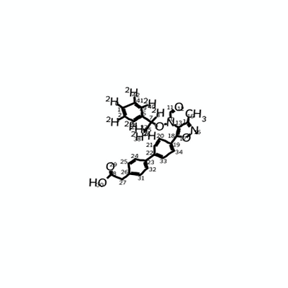 [2H]c1c([2H])c([2H])c(C([2H])(ON(C=O)c2c(C)noc2-c2ccc(-c3ccc(CC(=O)O)cc3)cc2)C([2H])([2H])[2H])c([2H])c1[2H]